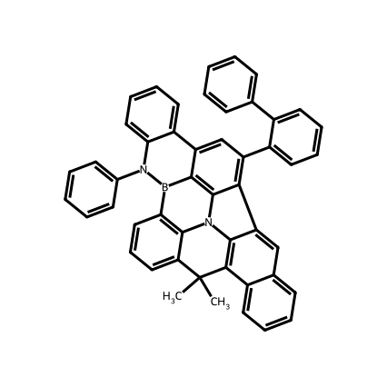 CC1(C)c2cccc3c2-n2c4c1c1ccccc1cc4c1c(-c4ccccc4-c4ccccc4)cc4c(c12)B3N(c1ccccc1)c1ccccc1-4